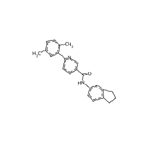 Cc1ccc(C)c(-c2ccc(C(=O)Nc3ccc4c(c3)CCC4)cn2)c1